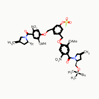 C=C1C[C@@H](CC)N(C(=O)c2cc(OC)c(OCc3cc(COc4cc([N+](=O)[O-])c(C(=O)N5CC(=C)C[C@H]5CO[Si](C)(C)C(C)(C)C)cc4OC)cc(OS(=O)(=O)F)c3)cc2[N+](=O)[O-])C1